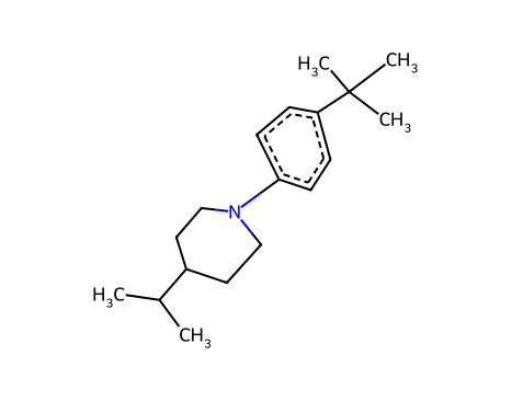 CC(C)C1CCN(c2ccc(C(C)(C)C)cc2)CC1